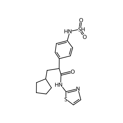 O=C(Nc1nccs1)C(CC1CCCC1)c1ccc(N[SH](=O)=O)cc1